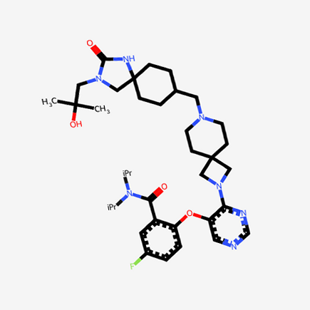 CC(C)N(C(=O)c1cc(F)ccc1Oc1cncnc1N1CC2(CCN(CC3CCC4(CC3)CN(CC(C)(C)O)C(=O)N4)CC2)C1)C(C)C